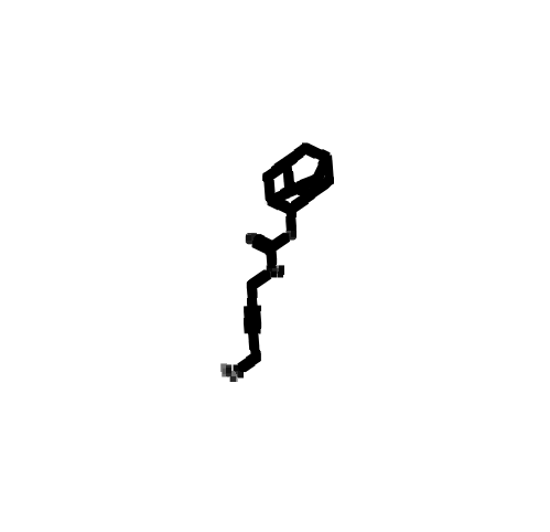 NCC#CCNC(=O)OC1C2CC3CC(C2)CC1C3